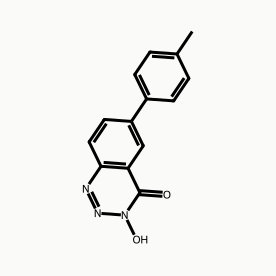 Cc1ccc(-c2ccc3nnn(O)c(=O)c3c2)cc1